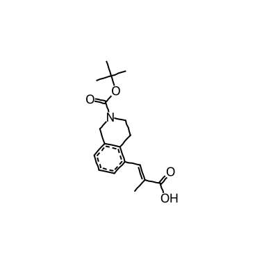 C/C(=C\c1cccc2c1CCN(C(=O)OC(C)(C)C)C2)C(=O)O